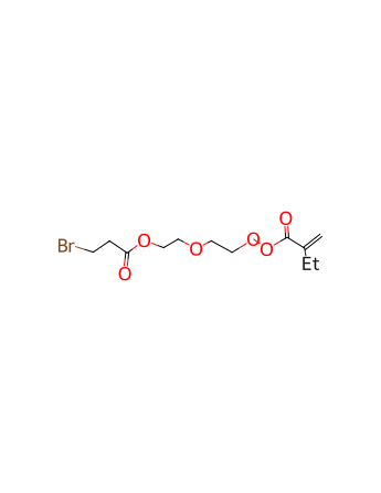 C=C(CC)C(=O)OOCCOCCOC(=O)CCBr